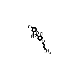 CCCCCOc1ccc(C(=O)Oc2ccc(Cl)cc2C#N)c(Cl)c1